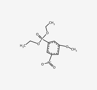 CCOP(=O)(OCC)c1cc(OC)cc([N+](=O)[O-])c1